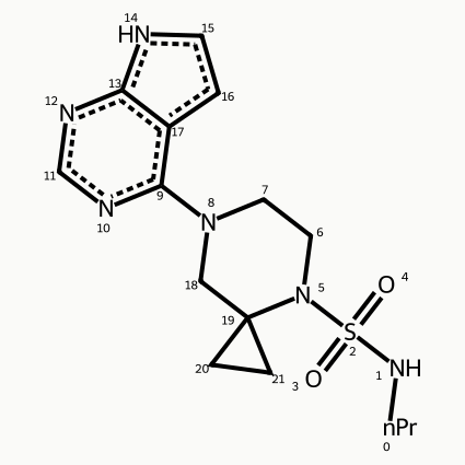 CCCNS(=O)(=O)N1CCN(c2ncnc3[nH]ccc23)CC12CC2